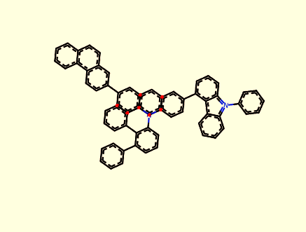 c1ccc(-c2ccccc2-c2c(-c3ccccc3)cccc2N(c2ccc(-c3ccc4c(ccc5ccccc54)c3)cc2)c2ccc(-c3cccc4c3c3ccccc3n4-c3ccccc3)cc2)cc1